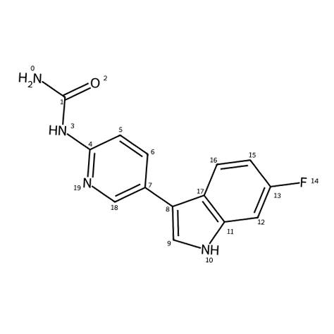 NC(=O)Nc1ccc(-c2c[nH]c3cc(F)ccc23)cn1